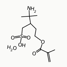 C=C(C)C(=O)OCCC(CS(=O)(=O)O)C(C)(C)N.O